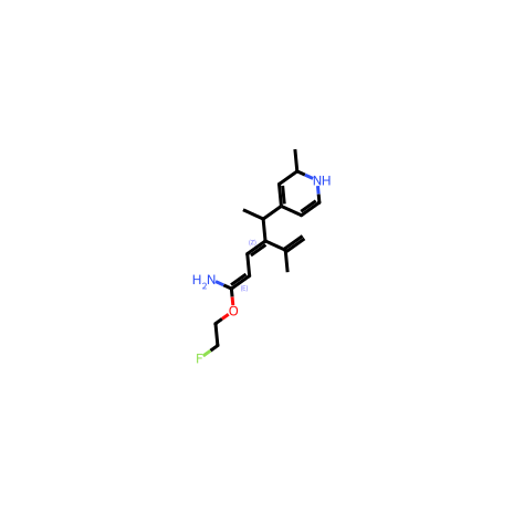 C=C(C)/C(=C\C=C(/N)OCCF)C(C)C1=CC(C)NC=C1